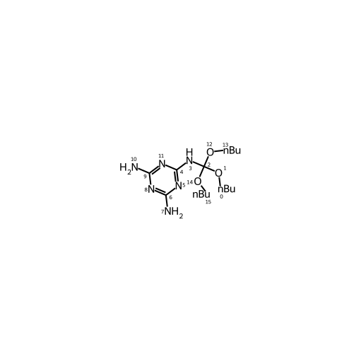 CCCCOC(Nc1nc(N)nc(N)n1)(OCCCC)OCCCC